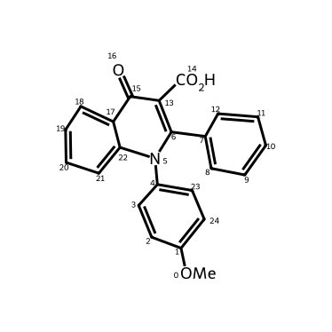 COc1ccc(-n2c(-c3ccccc3)c(C(=O)O)c(=O)c3ccccc32)cc1